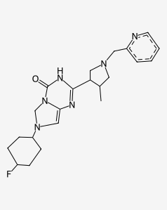 CC1CN(Cc2ccccn2)CC1C1=NC2=CN(C3CCC(F)CC3)CN2C(=O)N1